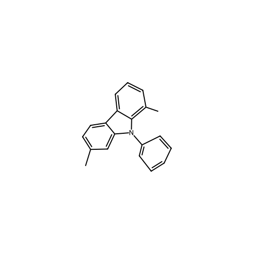 Cc1ccc2c3cccc(C)c3n(-c3ccccc3)c2c1